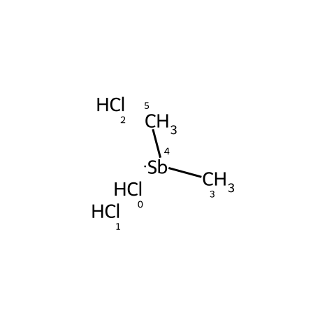 Cl.Cl.Cl.[CH3][Sb][CH3]